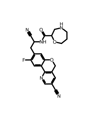 N#Cc1cnc2c(c1)COc1cc(CC(C#N)NC(=O)C3CNCCCO3)c(F)cc1-2